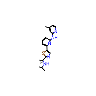 Cc1ccnc(Nc2cccc(-c3cnc([C@H](C)NC(C)C)s3)n2)c1